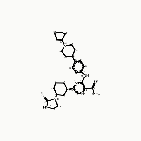 NC(=O)c1ncc(N2CCCC(N3CCNC3=O)C2)nc1Nc1ccc(C2CCN(C3CCCC3)CC2)cc1